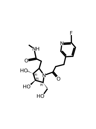 CNC(=O)CC1[C@@H](O)[C@H](O)[C@@H](CO)N1C(=O)CCc1ccc(F)nc1